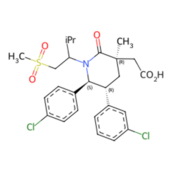 CC(C)C(CS(C)(=O)=O)N1C(=O)[C@@](C)(CC(=O)O)C[C@H](c2cccc(Cl)c2)[C@H]1c1ccc(Cl)cc1